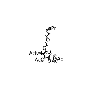 CCCOCCOCCO[C@@H]1O[C@H](COC(C)=O)[C@H](OC(C)=O)[C@H](OC(C)=O)[C@H]1NC(C)=O